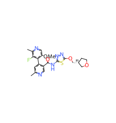 COc1cnc(C)c(F)c1-c1cc(C)ncc1C(=O)Nc1nnc(OC[C@@H]2CCOC2)s1